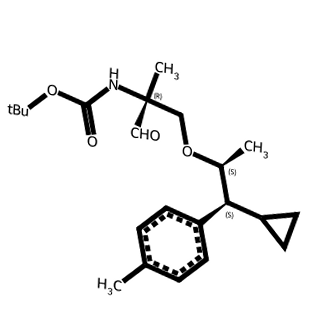 Cc1ccc([C@H](C2CC2)[C@H](C)OC[C@](C)(C=O)NC(=O)OC(C)(C)C)cc1